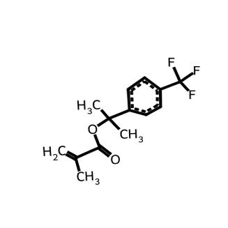 C=C(C)C(=O)OC(C)(C)c1ccc(C(F)(F)F)cc1